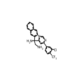 NCC(N)(c1ccc2ccccc2c1)c1cc(-c2ccc(C(F)(F)F)c(Cl)c2)ncn1